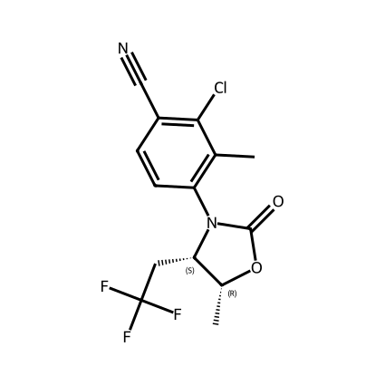 Cc1c(N2C(=O)O[C@H](C)[C@@H]2CC(F)(F)F)ccc(C#N)c1Cl